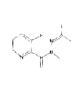 C=C(c1ncccc1F)N(C)N=C(C)C